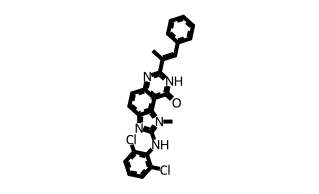 C/C(=C\c1ccccc1)c1nc2ccc3nc(Nc4c(Cl)cccc4Cl)n(C)c3c2c(=O)[nH]1